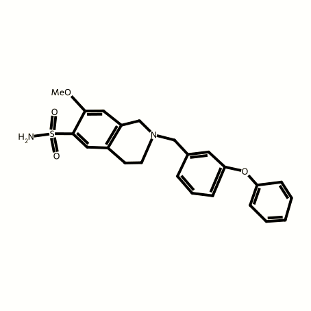 COc1cc2c(cc1S(N)(=O)=O)CCN(Cc1cccc(Oc3ccccc3)c1)C2